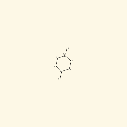 C[C]1CCN(C)CC1